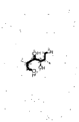 C[C@@H](CO)C(O)[C@H](O)[C@@H](C)CO